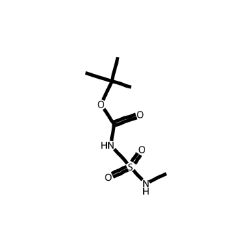 CNS(=O)(=O)NC(=O)OC(C)(C)C